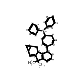 CC1(C)C2=CC3CC3CC2C2=C1C=CCC2C1=CC=C(N(c2ccccc2)c2ccccc2)CC=C1